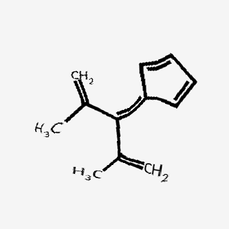 C=C(C)C(C(=C)C)=C1C=CC=C1